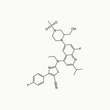 CCN(c1nc(-c2ccc(F)cc2)c(C#N)s1)c1cc(C(C)C)nc2c(F)cc(N3CCN(S(C)(=O)=O)CC3CO)cc12